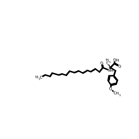 CCCCCCCCCCCCCCCC(=O)N[C@@](C)(Cc1ccc(OC)cc1)C(=O)O